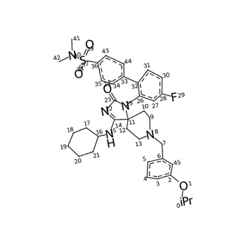 CC(C)Oc1cccc(CN2CCC3(CC2)C(NC2CCCCC2)=NC(=O)N3c2cc(F)ccc2-c2ccc(S(=O)(=O)N(C)C)cc2)c1